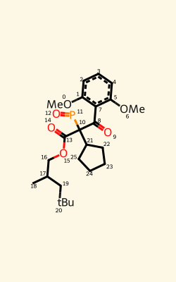 COc1cccc(OC)c1C(=O)C(P=O)(C(=O)OCC(C)CC(C)(C)C)C1CCCC1